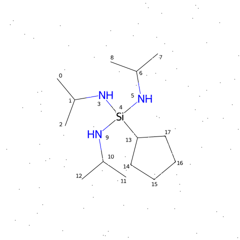 CC(C)N[Si](NC(C)C)(NC(C)C)C1CCCC1